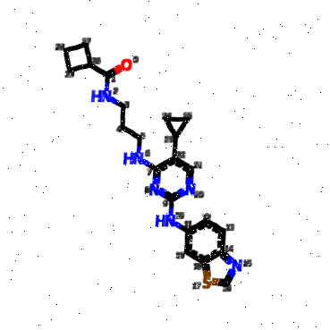 O=C(NCCCNc1nc(Nc2ccc3ncsc3c2)ncc1C1CC1)C1CCC1